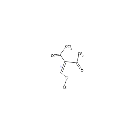 CCO/C=C(\C(=O)C(F)(F)F)C(=O)C(Cl)(Cl)Cl